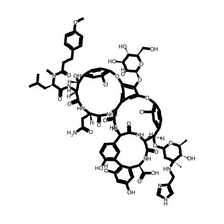 COc1ccc(CCC(=O)N(C)[C@H](CC(C)C)C(=O)N[C@H]2C(=O)N[C@@H](CC(N)=O)C(=O)N[C@H]3C(=O)N[C@H]4C(=O)N[C@H](C(=O)N[C@@H](C(=O)O)c5cc(O)cc(O)c5-c5cc4ccc5O)[C@H](OC4C[C@](C)(NCc5c[nH]cn5)[C@@H](O)[C@H](C)O4)c4ccc(c(Cl)c4)Oc4cc3cc(c4O[C@@H]3O[C@H](CO)[C@@H](O)[C@H](O)[C@H]3O)Oc3ccc(cc3Cl)[C@H]2O)cc1